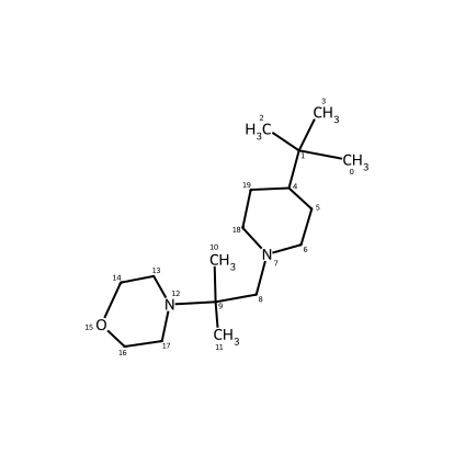 CC(C)(C)C1CCN(CC(C)(C)N2CCOCC2)CC1